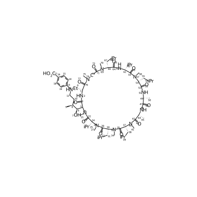 CC[C@H]1NC(=O)C([C@@H](O)[C@@H](C)CCNc2ccc(C(=O)O)cc2)N(C)C(=O)[C@@H](C(C)C)N(C)C(=O)[C@@H](CC(C)C)N(C)C(=O)[C@@H](CC(C)C)N(C)C(=O)[C@@H](C)NC(=O)[C@@H](C)NC(=O)[C@@H](CC(C)C)N(C)C(=O)[C@@H](C(C)C)NC(=O)[C@@H](CC(C)C)N(C)C(=O)CN(C)C1=O